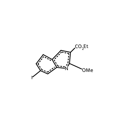 CCOC(=O)c1cc2ccc(I)cc2nc1OC